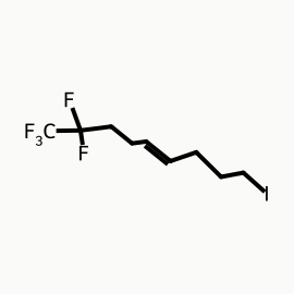 FC(F)(F)C(F)(F)CC/C=C/CCCI